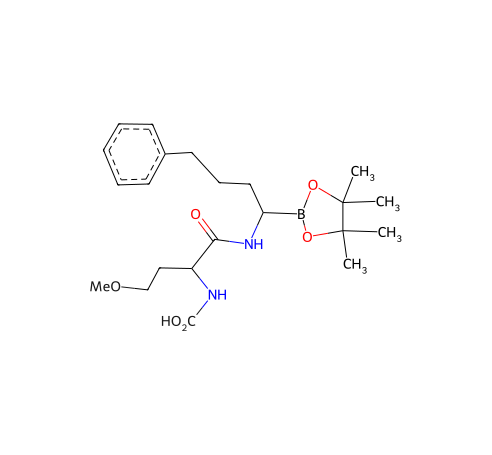 COCCC(NC(=O)O)C(=O)NC(CCCc1ccccc1)B1OC(C)(C)C(C)(C)O1